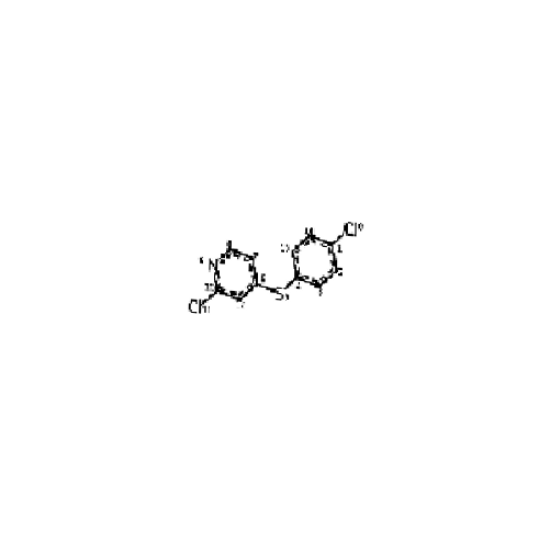 Clc1ccc(Sc2ccnc(Cl)c2)cc1